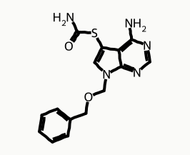 NC(=O)Sc1cn(COCc2ccccc2)c2ncnc(N)c12